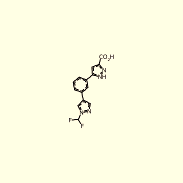 O=C(O)c1cc(-c2cccc(-c3cnn(C(F)F)c3)c2)[nH]n1